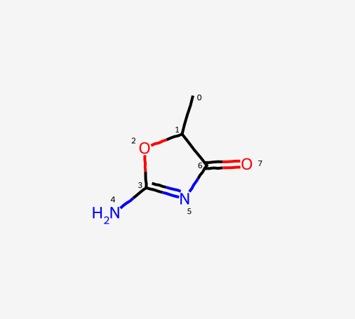 CC1OC(N)=NC1=O